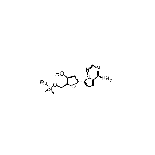 CC(C)(C)[Si](C)(C)OCC1O[C@@H](c2ccc3c(N)ncnn23)C[C@@H]1O